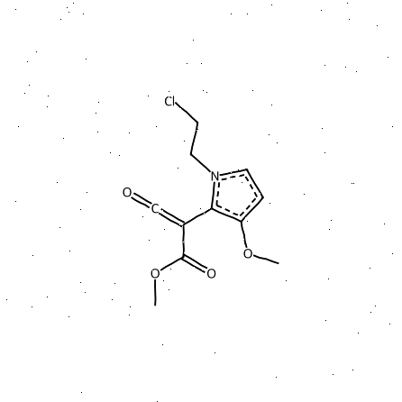 COC(=O)C(=C=O)c1c(OC)ccn1CCCl